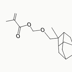 C=C(C)C(=O)OCOCC1(C)C2CC3CC(C2)CC1C3